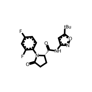 CC(C)(C)c1cc(NC(=O)[C@@H]2CCC(=O)N2c2ccc(F)cc2F)no1